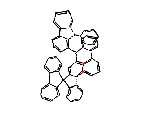 c1ccc(-c2ccccc2N(c2ccc3c(c2)C2(c4ccccc4-c4ccccc42)c2ccccc2-3)c2cccc3c4ccccc4n(-c4ccccc4)c23)cc1